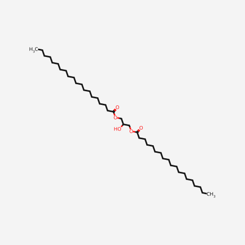 CCCCCCCCCCCCCCCCCCCC(=O)OCC(O)COC(=O)CCCCCCCCCCCCCCCCCC